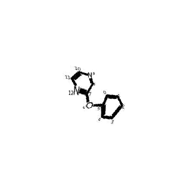 [c]1ccccc1Oc1cnccn1